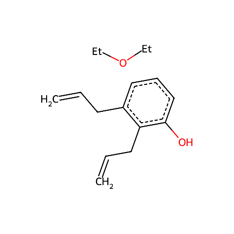 C=CCc1cccc(O)c1CC=C.CCOCC